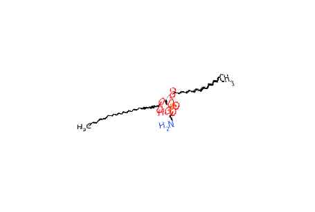 CCCCCCCCCCCCCCCCCCC#CC#CC(=O)O[C@H](COC(=O)CCCCCCCCCCCCCCC)COP(=O)(O)OCCN